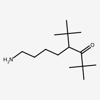 CC(C)(C)C(=O)C(CCCCN)C(C)(C)C